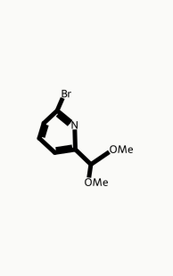 COC(OC)c1cccc(Br)n1